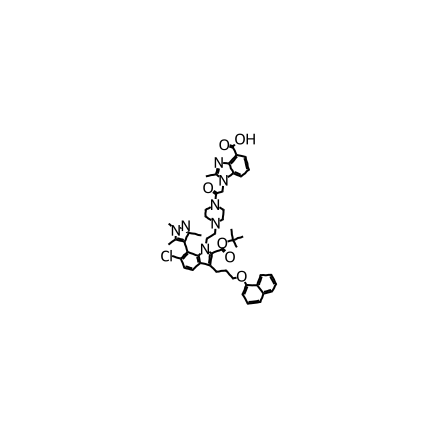 Cc1nn(C)c(C)c1-c1c(Cl)ccc2c(CCCOc3cccc4ccccc34)c(C(=O)OC(C)(C)C)n(CCN3CCN(C(=O)Cn4c(C)nc5c(C(=O)O)cccc54)CC3)c12